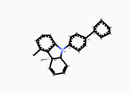 Cc1cccc2c1[C@]1(C)C=CC=CC1N2c1ccc(-c2ccccc2)cc1